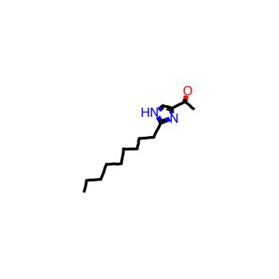 CCCCCCCCCc1nc(C(C)=O)c[nH]1